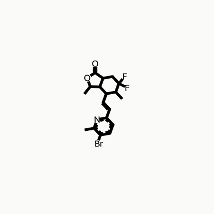 Cc1nc(/C=C/C2C3C(C)OC(=O)C3CC(F)(F)C2C)ccc1Br